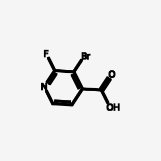 O=C(O)c1ccnc(F)c1Br